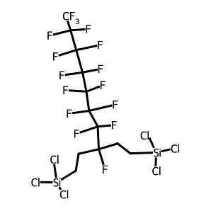 FC(F)(F)C(F)(F)C(F)(F)C(F)(F)C(F)(F)C(F)(F)C(F)(F)C(F)(CC[Si](Cl)(Cl)Cl)CC[Si](Cl)(Cl)Cl